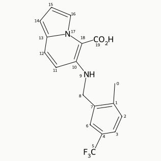 Cc1ccc(C(F)(F)F)cc1CNc1ccc2cccn2c1C(=O)O